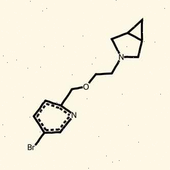 Brc1ccc(COCCN2CC3CC3C2)nc1